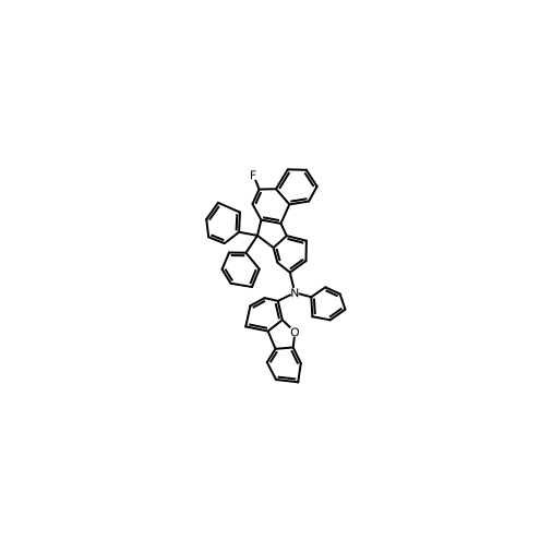 Fc1cc2c(c3ccccc13)-c1ccc(N(c3ccccc3)c3cccc4c3oc3ccccc34)cc1C2(c1ccccc1)c1ccccc1